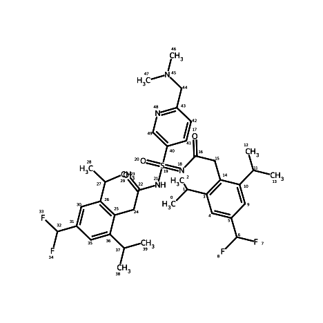 CC(C)c1cc(C(F)F)cc(C(C)C)c1CC(=O)N=S(=O)(NC(=O)Cc1c(C(C)C)cc(C(F)F)cc1C(C)C)c1ccc(CN(C)C)nc1